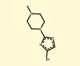 CC(C)c1csc(N2CCN(C)CC2)n1